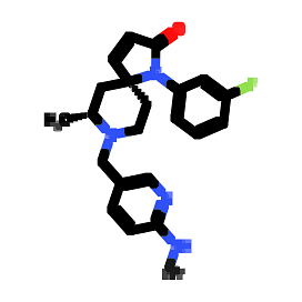 CCCNc1ccc(CN2CC[C@@]3(C=CC(=O)N3c3cccc(F)c3)C[C@H]2C)cn1